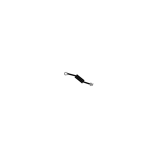 ClC#CBr